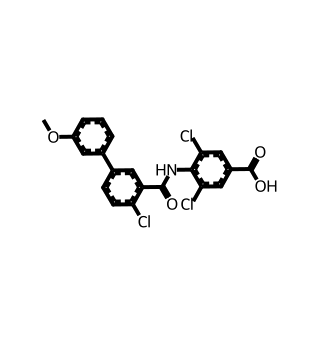 COc1cccc(-c2ccc(Cl)c(C(=O)Nc3c(Cl)cc(C(=O)O)cc3Cl)c2)c1